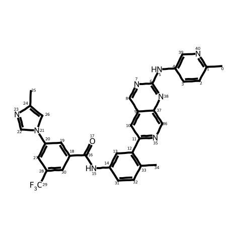 Cc1ccc(Nc2ncc3cc(-c4cc(NC(=O)c5cc(-n6cnc(C)c6)cc(C(F)(F)F)c5)ccc4C)ncc3n2)cn1